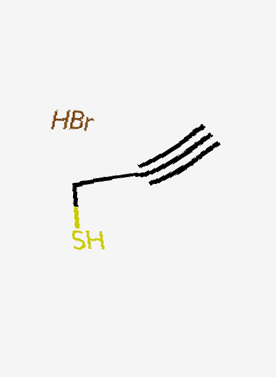 Br.C#CCS